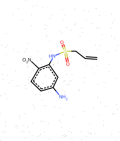 C=CCS(=O)(=O)Nc1cc(N)ccc1[N+](=O)[O-]